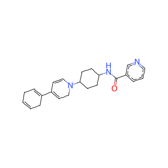 O=C(NC1CCC(N2C=CC(C3=CCC=CC3)=CC2)CC1)c1cccnc1